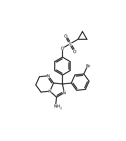 NC1=NC(c2ccc(OS(=O)(=O)C3CC3)cc2)(c2cccc(Br)c2)C2=NCCCN12